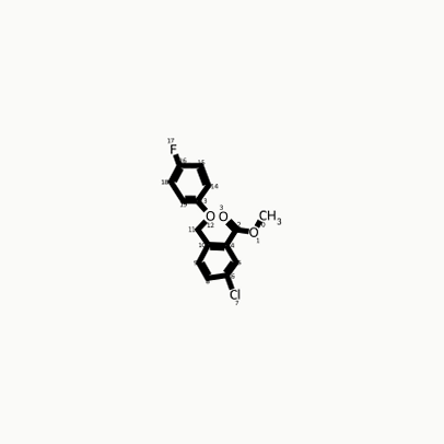 COC(=O)c1cc(Cl)ccc1COc1ccc(F)cc1